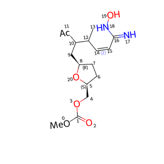 COC(=O)OC[C@@H]1CC[C@H](CC(C(C)=O)C(C)/C=C\C(=N)NO)O1